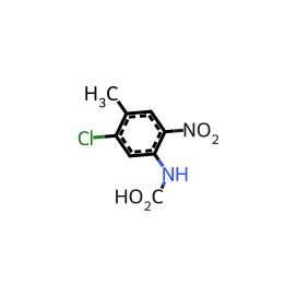 Cc1cc([N+](=O)[O-])c(NC(=O)O)cc1Cl